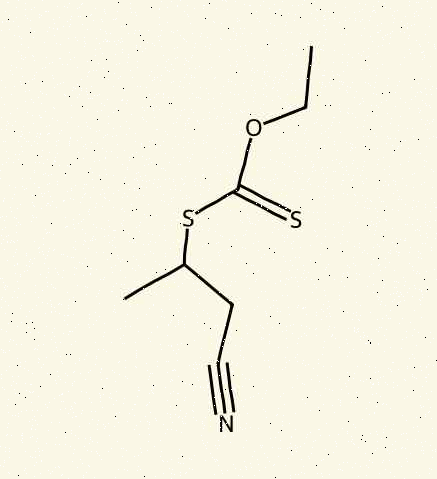 CCOC(=S)SC(C)CC#N